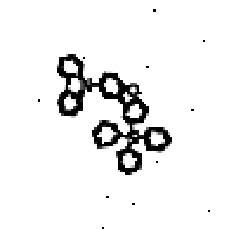 c1ccc([Si](c2ccccc2)(c2ccccc2)c2ccc3oc4ccc(-n5c6ccccc6c6ccccc65)cc4c3c2)cc1